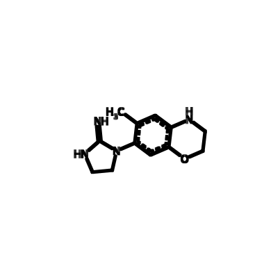 Cc1cc2c(cc1N1CCNC1=N)OCCN2